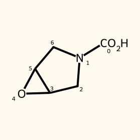 O=C(O)N1CC2OC2C1